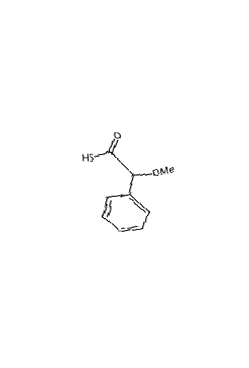 COC(C(=O)S)c1ccccc1